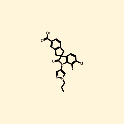 CCCn1cc(N2C(=O)C3(Cc4ccc(C(=O)O)cc4C3)c3ccc(Cl)c(F)c32)cn1